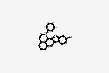 Brc1ccc2c(c1)oc1c3c4c(cccc4cc12)C=CN3c1ccccc1